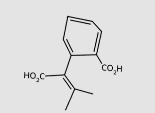 CC(C)=C(C(=O)O)c1ccccc1C(=O)O